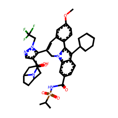 COc1ccc2c(c1)C=C(c1c(C(=O)N3C4CCC3CC(C)(O)C4)cnn1CC(F)(F)F)Cn1c-2c(C2CCCCC2)c2ccc(C(=O)NS(=O)(=O)C(C)C)cc21